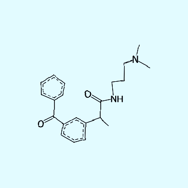 CC(C(=O)NCCCN(C)C)c1cccc(C(=O)c2ccccc2)c1